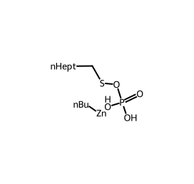 CCCCCCCCSOP(=O)(O)O.CCC[CH2][Zn]